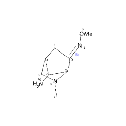 CO/N=C1\CC2CN(C)C1C2N